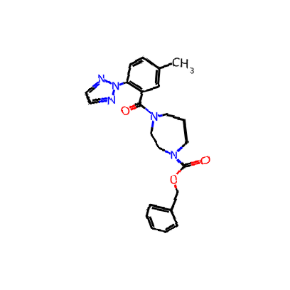 Cc1ccc(-n2nccn2)c(C(=O)N2CCCN(C(=O)OCc3ccccc3)CC2)c1